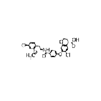 COc1cc(Cl)ccc1CCNC(=O)c1ccc(Oc2cc3c(cc2Cl)[C@@H](C(=O)O)CCO3)cc1